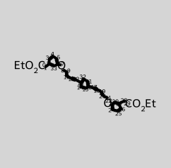 CCOC(=O)Cc1cccc(OCC=CC#Cc2ccc(C#CC=CCOc3cccc(CC(=O)OCC)c3)cc2)c1